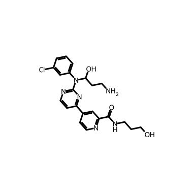 NCCC(O)N(c1cccc(Cl)c1)c1nccc(-c2ccnc(C(=O)NCCCO)c2)n1